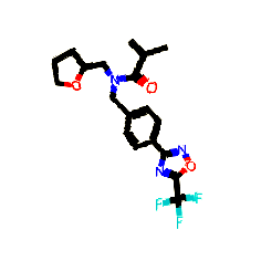 CC(C)C(=O)N(Cc1ccc(-c2noc(C(F)(F)F)n2)cc1)CC1CCCO1